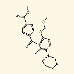 COCOc1ccc(N2CCCCC2)c(F)c1C(=O)c1ccc(C(=O)OC)cc1